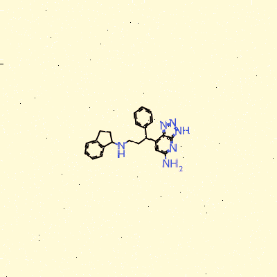 Nc1cc(C(CCNC2CCc3ccccc32)c2ccccc2)c2nn[nH]c2n1